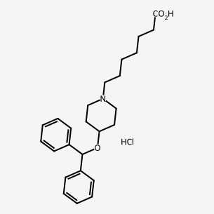 Cl.O=C(O)CCCCCCN1CCC(OC(c2ccccc2)c2ccccc2)CC1